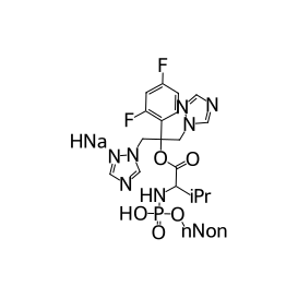 CCCCCCCCCOP(=O)(O)NC(C(=O)OC(Cn1cncn1)(Cn1cncn1)c1ccc(F)cc1F)C(C)C.[NaH]